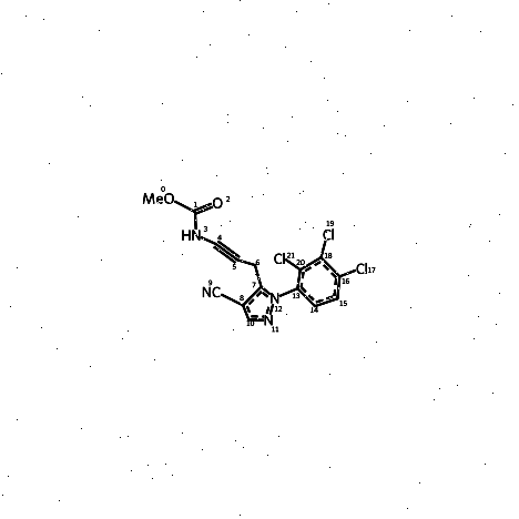 COC(=O)NC#CCc1c(C#N)cnn1-c1ccc(Cl)c(Cl)c1Cl